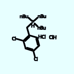 CCCC[PH](CCCC)(CCCC)Cc1ccc(Cl)cc1Cl.Cl.Cl